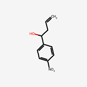 C=CCC(O)c1ccc([N+](=O)[O-])cc1